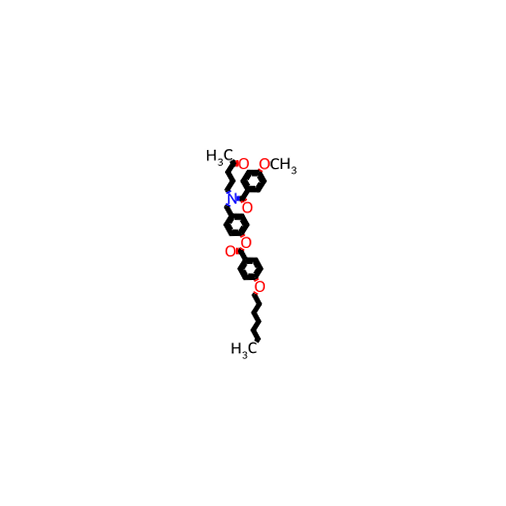 CCCCCCCOc1ccc(C(=O)Oc2ccc(CN(CCCC(C)=O)C(=O)c3ccc(OC)cc3)cc2)cc1